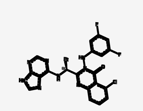 CC[C@H](Nc1ncnc2[nH]cnc12)c1nc2cccc(Cl)c2c(=O)n1Nc1cc(F)cc(F)c1